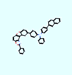 C1=C(c2ccc(N(c3ccccc3)c3ccc(-c4ccc5ccccc5c4)cc3)cc2)CC2C(=C1)Oc1ccc3oc(-c4ccccc4)nc3c12